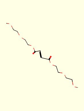 CCOCCOCCOC(=O)/C=C/C(=O)OCCOCCOCC